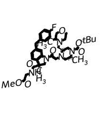 COC(=O)CNC(=O)C1(C)CN(C(=O)CN2C[C@@H](C)N(C(=O)OC(C)(C)C)C[C@@H]2CN2CCOCC2C)c2cc(Cc3ccc(F)cc3)ccc21